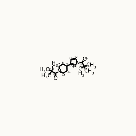 CC(C)(C)C(=O)N1CCC(c2ccn(C(=O)C(C)(C)C)n2)CC1